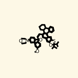 COc1ccc(C2(c3ccc(N4CCOCC4)cc3)C=Cc3c4c(c5cc6c(cc5c3O2)OC(C(C)C)(C(C)C)S6)-c2ccccc2C2CCCCC42)cc1